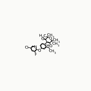 CCc1cc(Oc2ncc(Cl)cc2F)ccc1C1=C(O)C(C)(C)OC(C)(C)C1=O